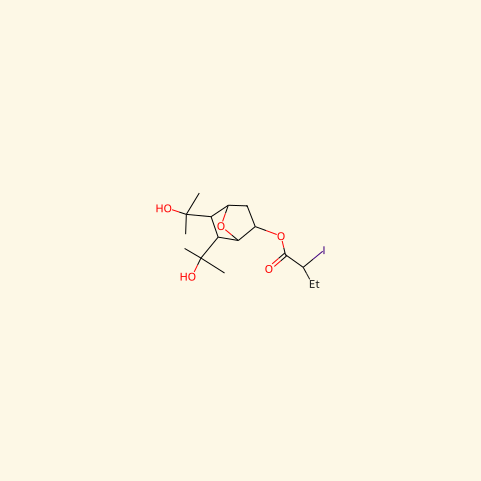 CCC(I)C(=O)OC1CC2OC1C(C(C)(C)O)C2C(C)(C)O